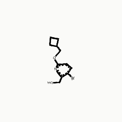 OCc1nc(OCC2CCC2)ccc1Br